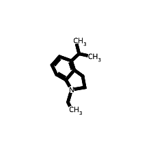 CCN1CCc2c(C(C)C)cccc21